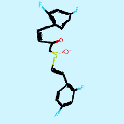 O=C(/C=C\c1ccc(F)cc1F)C[S+]([O-])/C=C/c1ccc(F)cc1F